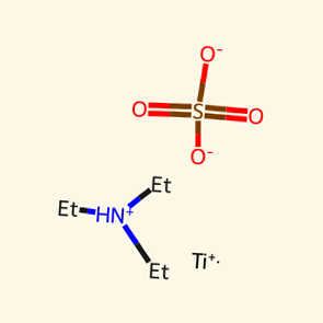 CC[NH+](CC)CC.O=S(=O)([O-])[O-].[Ti+]